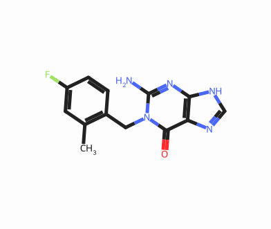 Cc1cc(F)ccc1Cn1c(N)nc2[nH]cnc2c1=O